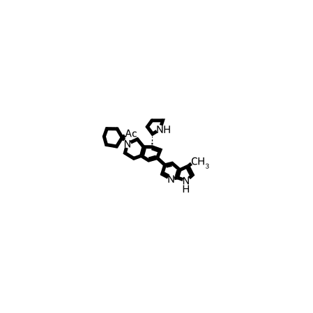 CC(=O)C1(N2CCc3cc(-c4cnc5[nH]cc(C)c5c4)cc([C@@H]4CCCN4)c3C2)CCCCC1